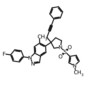 Cc1cc2c(cnn2-c2ccc(F)cc2)cc1C1(CC#Cc2ccccc2)CCN(S(=O)(=O)c2ccn(C)c2)C1